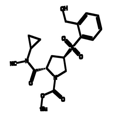 CC(C)(C)OC(=O)N1C[C@H](S(=O)(=O)c2ccccc2CO)C[C@H]1C(=O)N(C#N)C1CC1